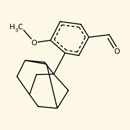 COc1ccc(C=O)cc1C12CC3CC(CC(C3)C1)C2